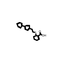 O=C(O)C1=CCCCC1SCCc1ccc(-c2ccccc2)cc1